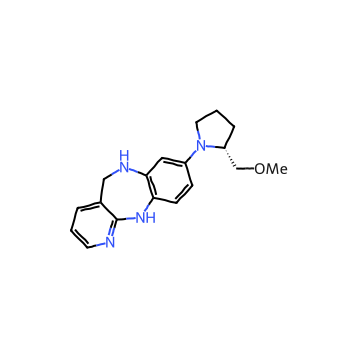 COC[C@H]1CCCN1c1ccc2c(c1)NCc1cccnc1N2